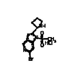 CS(=O)(=O)n1c([C@H]2CCCN2)cc2cnc(Br)cc21.Cl